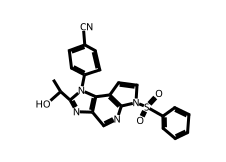 CC(O)c1nc2cnc3c(ccn3S(=O)(=O)c3ccccc3)c2n1-c1ccc(C#N)cc1